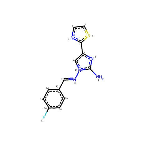 Nc1nc(-c2nccs2)cn1N=Cc1ccc(F)cc1